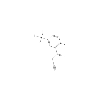 N#CCC(=O)c1cc(C(F)(F)F)ccc1Cl